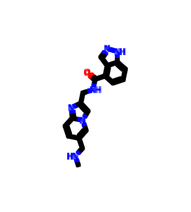 CNCc1ccc2nc(CNC(=O)c3cccc4[nH]ncc34)cn2c1